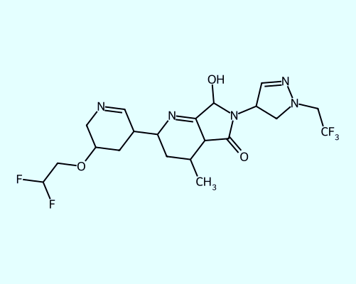 CC1CC(C2C=NCC(OCC(F)F)C2)N=C2C1C(=O)N(C1C=NN(CC(F)(F)F)C1)C2O